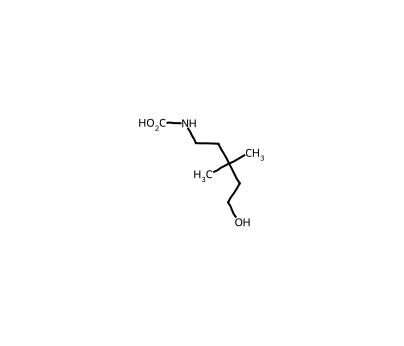 CC(C)(CCO)CCNC(=O)O